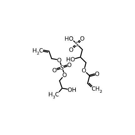 C=CC(=O)OCC(O)CS(=O)(=O)O.C=CCOS(=O)(=O)OCC(C)O